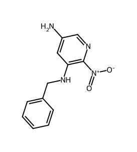 Nc1cnc([N+](=O)[O-])c(NCc2ccccc2)c1